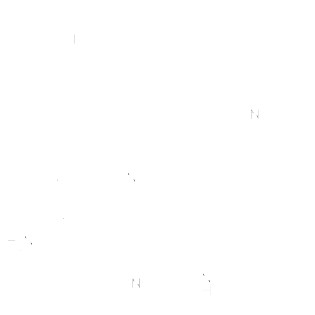 N#Cc1cccc(Nc2cc(NCc3cc(F)cc(F)c3)c(C(N)=O)cn2)c1